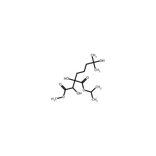 COC(=O)C(O)C(O)(CCCC(C)(C)O)C(=O)OC(C)C